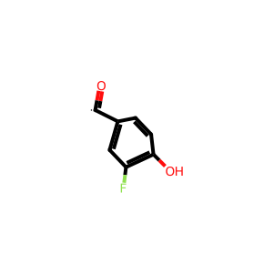 O=[C]c1ccc(O)c(F)c1